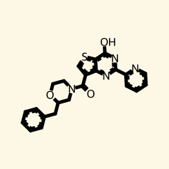 O=C(c1csc2c(O)nc(-c3ccccn3)nc12)N1CCOC(Cc2ccccc2)C1